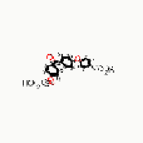 O=C(O)Oc1ccc(C(=O)c2ccc(Oc3ccc(C(=O)O)cc3)cc2)cc1